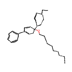 CCCCCCCCCOC1(C2CCC(CC)CC2)C=CC(c2ccccc2)=CC1